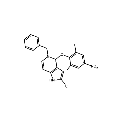 Cc1cc([N+](=O)[O-])cc(C)c1OC1c2cc(Cl)[nH]c2C=CN1Cc1ccccc1